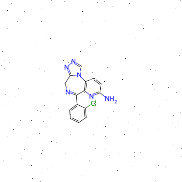 Nc1ccc2c(n1)C(c1ccccc1Cl)=NCc1nncn1-2